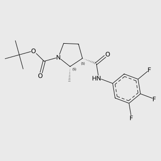 C[C@H]1[C@@H](C(=O)Nc2cc(F)c(F)c(F)c2)CCN1C(=O)OC(C)(C)C